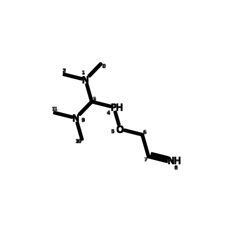 CN(C)C(POCC=N)N(C)C